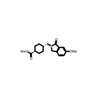 COc1ccc2c(c1)C(=O)N(C[C@H]1CC[C@H](C(=O)OC)CC1)C2